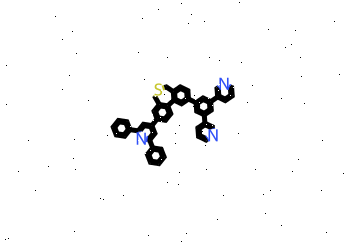 c1ccc(-c2cc(-c3ccc4c(c3)CSCc3ccc(-c5cc(-c6cccnc6)cc(-c6cccnc6)c5)cc3-4)cc(-c3ccccc3)n2)cc1